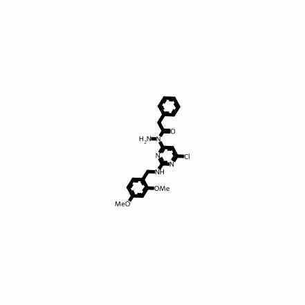 COc1ccc(CNc2nc(Cl)cc(N(N)C(=O)Cc3ccccc3)n2)c(OC)c1